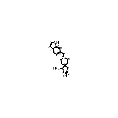 CC(C)C1(CC#N)CCN(Cc2ccc3cc[nH]c3c2)CC1